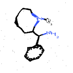 CN1CCCCCC1C(N)c1ccccc1